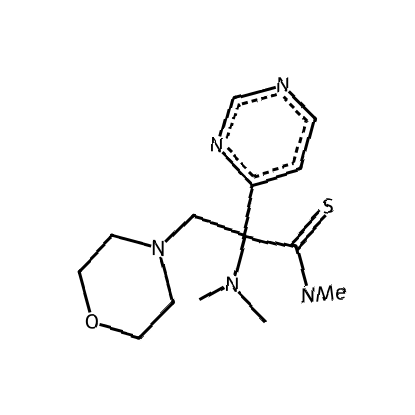 CNC(=S)C(CN1CCOCC1)(c1ccncn1)N(C)C